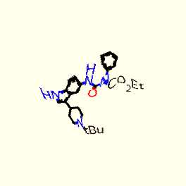 CCOC(=O)N(C(=O)Nc1ccc2[nH]cc(C3CCN(C(C)(C)C)CC3)c2c1)c1ccccc1